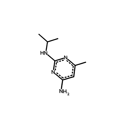 Cc1cc(N)nc(NC(C)C)n1